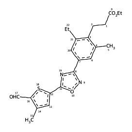 CCOC(=O)CCc1c(C)cc(-c2noc(-c3cc(C)c(C=O)s3)n2)cc1CC